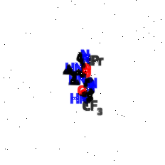 CC(C)n1nccc1C(=O)N[C@H](C(=O)Nc1cnn(CC2C[C@@H](C(F)(F)F)NC2=O)c1)C(C1CC1)C1CC1